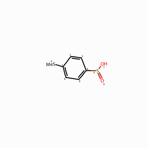 CSc1ccc(S(=O)O)cc1